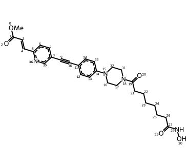 COC(=O)/C=C/c1ccc(C#Cc2ccc(N3CCN(C(=O)CCCCCCC(=O)NO)CC3)cc2)cn1